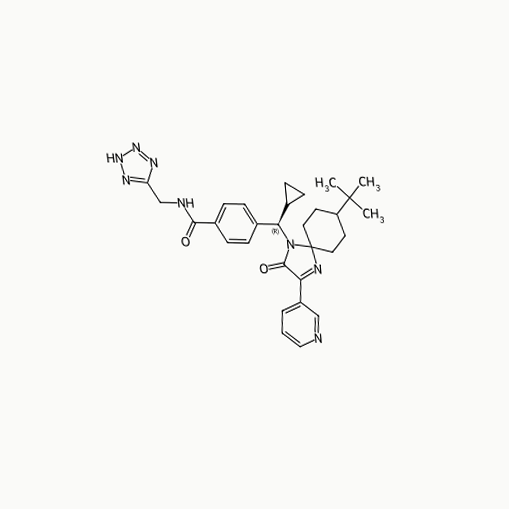 CC(C)(C)C1CCC2(CC1)N=C(c1cccnc1)C(=O)N2[C@@H](c1ccc(C(=O)NCc2nn[nH]n2)cc1)C1CC1